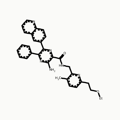 CCOCCc1ccc(C)c(CNC(=O)c2nc(-c3ccc4ncccc4c3)c(-c3ccccc3)nc2N)n1